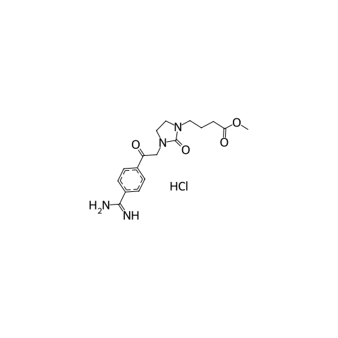 COC(=O)CCCN1CCN(CC(=O)c2ccc(C(=N)N)cc2)C1=O.Cl